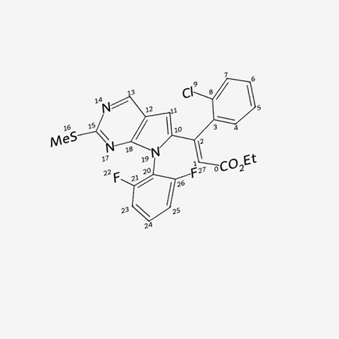 CCOC(=O)C=C(c1ccccc1Cl)c1cc2cnc(SC)nc2n1-c1c(F)cccc1F